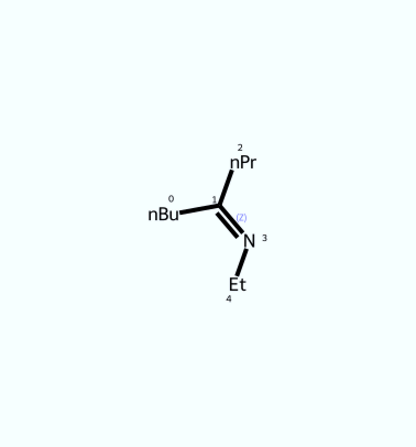 CCCC/C(CCC)=N\CC